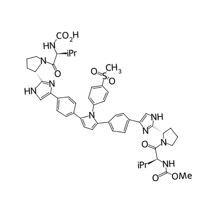 COC(=O)N[C@H](C(=O)N1CCC[C@H]1c1nc(-c2ccc(-c3ccc(-c4ccc(-c5c[nH]c([C@@H]6CCCN6C(=O)[C@@H](NC(=O)O)C(C)C)n5)cc4)n3-c3ccc(S(C)(=O)=O)cc3)cc2)c[nH]1)C(C)C